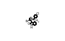 C=C1C=CC=C2NC(=O)C(c3c(Br)cnn3Cc3ccc(Cl)cc3)C12